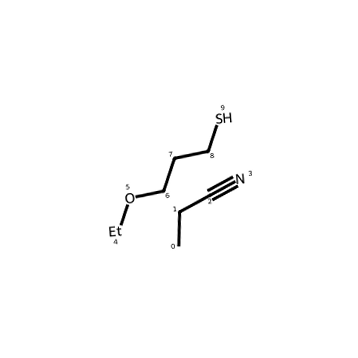 CCC#N.CCOCCCS